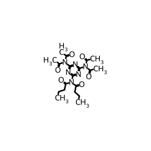 CCCC(=O)N(C(=O)CCC)c1nc(N(C(C)=O)C(C)=O)nc(N(C(C)=O)C(C)=O)n1